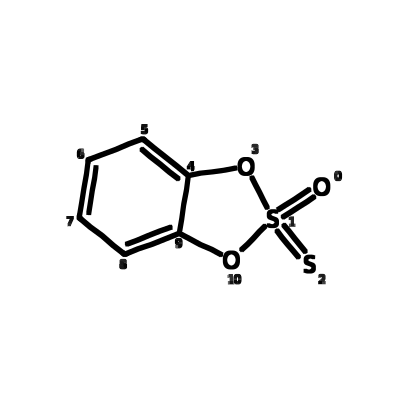 O=S1(=S)Oc2ccccc2O1